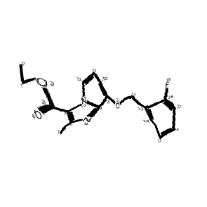 CCOC(=O)c1c(C)nc2c(OCc3ccccc3F)cccn12